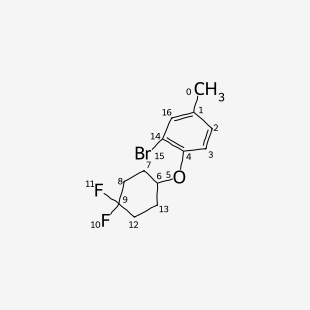 Cc1ccc(OC2CCC(F)(F)CC2)c(Br)c1